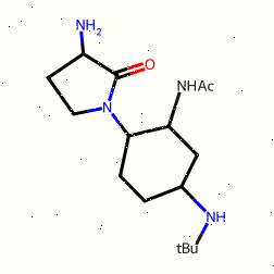 CC(=O)NC1CC(NC(C)(C)C)CCC1N1CCC(N)C1=O